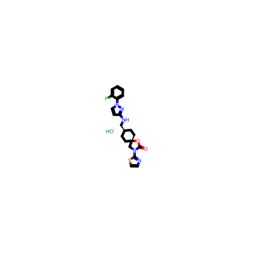 Cl.O=C1O[C@]2(CC[C@H](CNc3ccn(-c4ccccc4F)n3)CC2)CN1c1nccs1